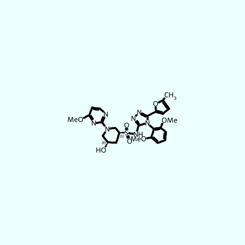 COc1ccnc(N2C[C@H](O)C[C@H](S(=O)(=O)Nc3nnc(-c4ccc(C)o4)n3-c3c(OC)cccc3OC)C2)n1